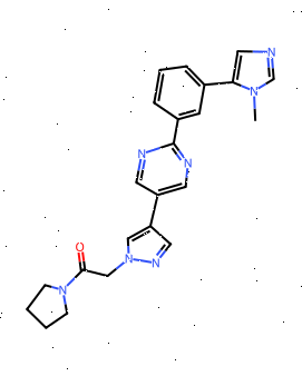 Cn1cncc1-c1cccc(-c2ncc(-c3cnn(CC(=O)N4CCCC4)c3)cn2)c1